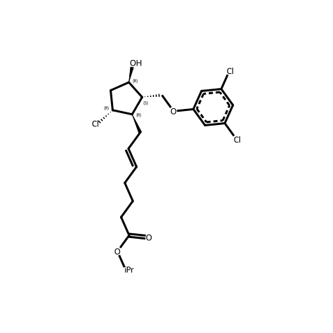 CC(C)OC(=O)CCCC=CC[C@@H]1[C@@H](COc2cc(Cl)cc(Cl)c2)[C@H](O)C[C@H]1Cl